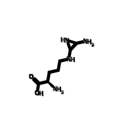 NC1NC1NCCC[C@@H](N)C(=O)O